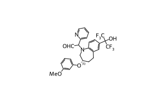 COc1cccc(O[C@H]2CCc3cc(C(O)(C(F)(F)F)C(F)(F)F)ccc3N(C(C=O)c3ccccn3)C2)c1